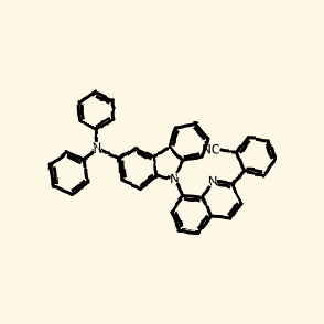 N#Cc1ccccc1-c1ccc2cccc(-n3c4ccccc4c4cc(N(c5ccccc5)c5ccccc5)ccc43)c2n1